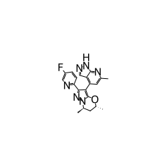 Cc1cc(-c2c(-c3ccc(F)cn3)nn3c2O[C@H](C)C[C@H]3C)c2cn[nH]c2n1